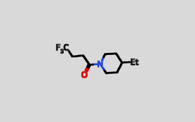 CCC1CCN(C(=O)CCC(F)(F)F)CC1